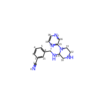 N#Cc1cccc(CNC2CNCCN2c2cnccn2)c1